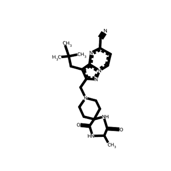 CC1NC(=O)C2(CCN(Cc3nn4ccc(C#N)nc4c3CC(C)(C)C)CC2)NC1=O